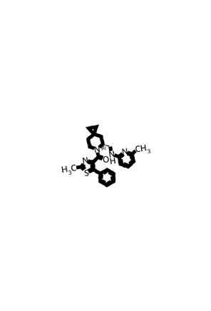 Cc1cccc(NC[C@H]2CC3(CCN2C(=O)c2nc(C)sc2-c2ccccc2)CC3)n1